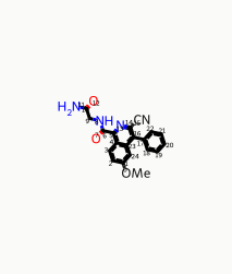 COc1ccc2c(C(=O)NCC(N)=O)nc(C#N)c(-c3ccccc3)c2c1